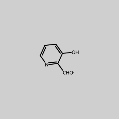 O=[C]c1ncccc1O